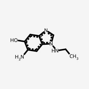 CCNn1cnc2cc(O)c(N)cc21